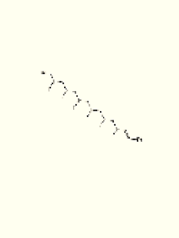 C=CI(I)CI(I)CI(I)CI(I)CI(I)CI(I)C=CCC